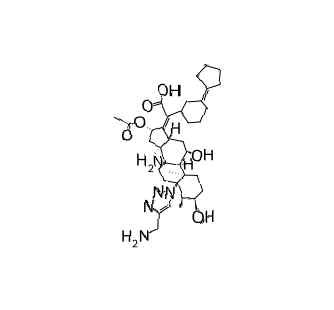 CC(=O)O[C@H]1C[C@@]2(C)[C@@H](C[C@@H](O)[C@@H]3[C@]2(N)CC[C@@]2(n4cc(CN)nn4)[C@H](C)[C@H](O)CC[C@]32C)/C1=C(/C(=O)O)C1CCCC(=C2CCCC2)C1